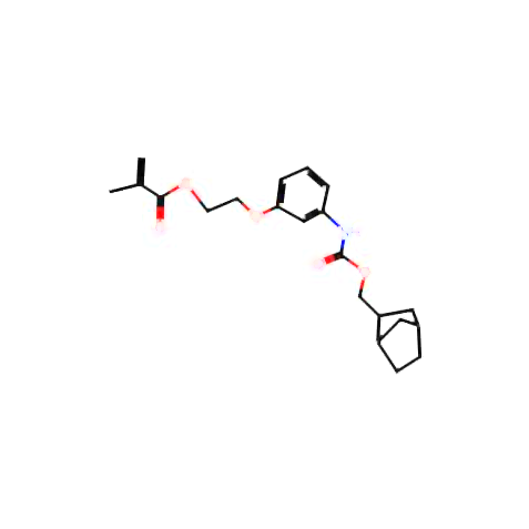 C=C(C)C(=O)OCCOc1cccc(NC(=O)OCC2CC3CCC2C3)c1